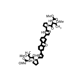 COC(=O)NC(C(=O)N1CCCC1c1ncc(-c2ccc3c(c2)oc2cc(-c4ccc([C@@H]5CCCN5C(=O)[C@@H](NC(=O)OC)[C@@H](C)OC)[nH]4)ccc23)[nH]1)[C@@H](C)OC